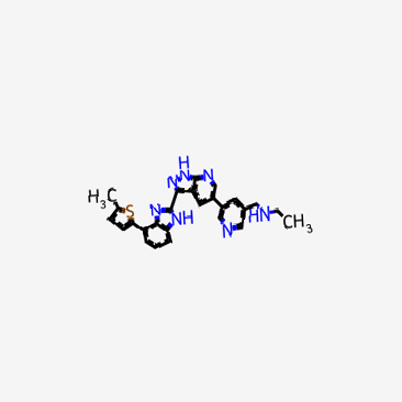 CCNCc1cncc(-c2cnc3[nH]nc(-c4nc5c(-c6ccc(C)s6)cccc5[nH]4)c3c2)c1